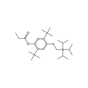 CCC(=O)Oc1cc(C(C)(C)C)c(SC[Si](C(C)C)(C(C)C)C(C)C)cc1C(C)(C)C